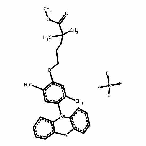 COC(=O)C(C)(C)CCCOc1cc(C)c([S+]2c3ccccc3Sc3ccccc32)cc1C.F[B-](F)(F)F